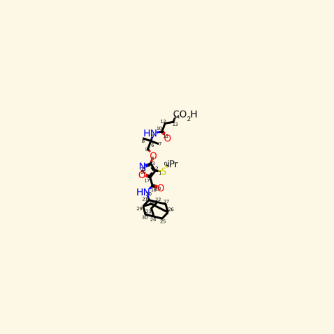 CC(C)Sc1c(OCC(C)(C)NC(=O)CCC(=O)O)noc1C(=O)NC1C2CC3CC(C2)CC1C3